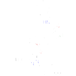 CC1=NN(c2ccc(C(=O)O)cc2)C(=O)C1=Cc1ccc(-c2ccc(Cl)c(C(=O)NCc3ccccc3)c2)o1